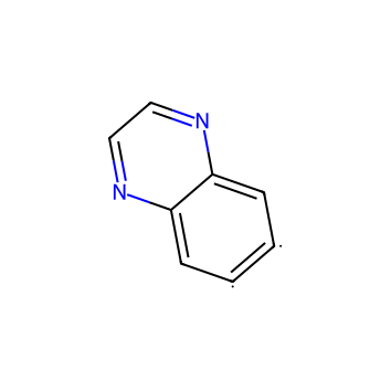 [c]1[c]cc2nccnc2c1